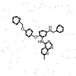 Cc1ccc2c(Nc3cc(NCc4ccccc4)ccc3Oc3ccc(OCc4ccccc4)cc3)ncnc2n1